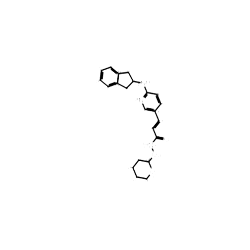 O=C(C=Cc1ccc(NC2Cc3ccccc3C2)nc1)NOC1CCCCO1